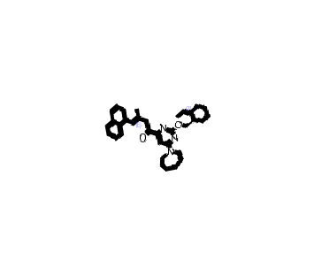 C/C=C1/CCCC[C@H]1COc1nc(C(=O)C/C(C)=C/c2cccc3ccccc23)cc(N2CCC=CCC2)n1